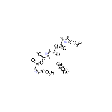 O=C(O)/C=C\C(=O)OC(=O)/C=C/C(=O)OC(=O)/C=C\C(=O)O.[Cu].[Cu].[Cu].[Cu]